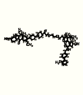 CCc1cc2c(cc1N1CCC(N3CCN(C(=O)CCOCCOCCC(=O)NC(C(=O)N4C[C@H](O)C[C@H]4C(=O)NCc4ccc(-c5scnc5C)cc4)C(C)(C)C)CC3)CC1)C(C)(C)c1[nH]c3cc(C#N)ccc3c1C2=O